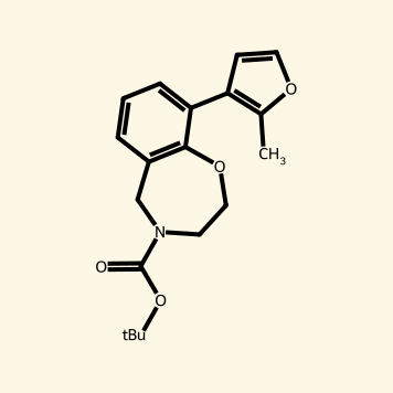 Cc1occc1-c1cccc2c1OCCN(C(=O)OC(C)(C)C)C2